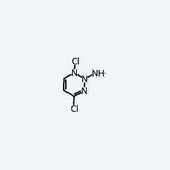 [NH]N1N=C(Cl)C=CN1Cl